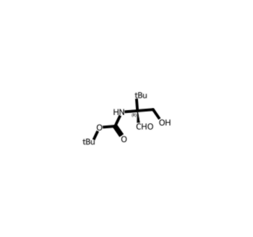 CC(C)(C)OC(=O)N[C@@](C=O)(CO)C(C)(C)C